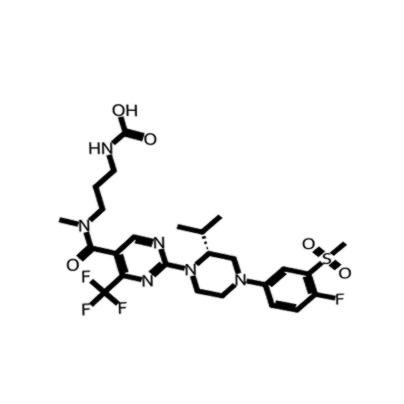 CC(C)[C@@H]1CN(c2ccc(F)c(S(C)(=O)=O)c2)CCN1c1ncc(C(=O)N(C)CCCNC(=O)O)c(C(F)(F)F)n1